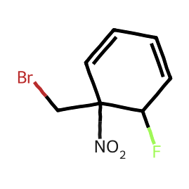 O=[N+]([O-])C1(CBr)C=CC=CC1F